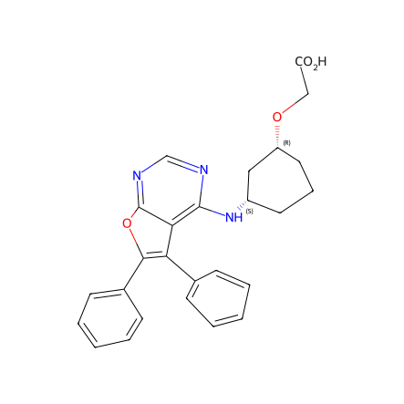 O=C(O)CO[C@@H]1CCC[C@H](Nc2ncnc3oc(-c4ccccc4)c(-c4ccccc4)c23)C1